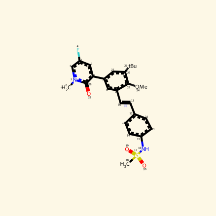 [CH2]n1cc(F)cc(-c2cc(/C=C/c3ccc(NS(C)(=O)=O)cc3)c(OC)c(C(C)(C)C)c2)c1=O